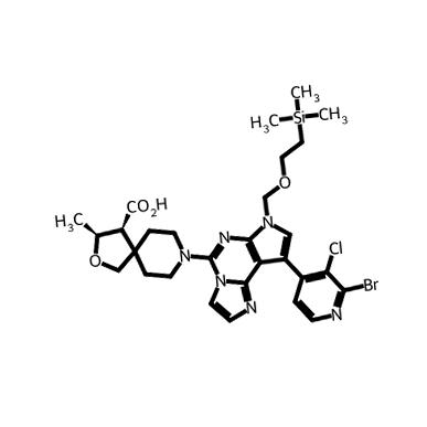 C[C@@H]1OCC2(CCN(c3nc4c(c(-c5ccnc(Br)c5Cl)cn4COCC[Si](C)(C)C)c4nccn34)CC2)[C@@H]1C(=O)O